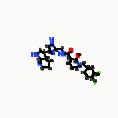 O=C(NCc1nc(-c2c[nH]c3ncccc23)c[nH]1)c1cccn(Cc2ccc(F)c(F)c2)c1=O